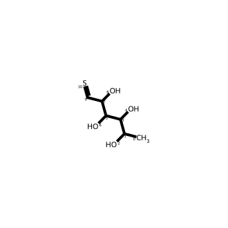 CC(O)C(O)C(O)C(O)C=S